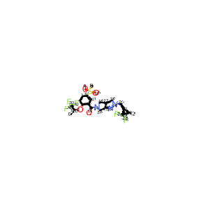 C[C@H](Oc1ccc(S(C)(=O)=O)cc1C(=O)N1Cc2cn(CC3CC3(F)F)nc2C1)C(F)(F)F